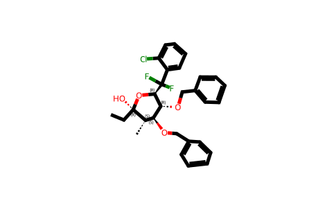 CC[C@@]1(O)O[C@@H](C(F)(F)c2ccccc2Cl)[C@H](OCc2ccccc2)[C@@H](OCc2ccccc2)[C@@H]1C